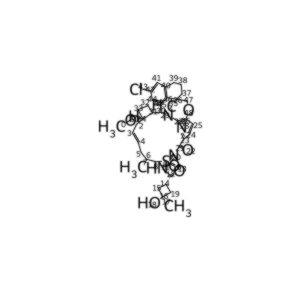 CO[C@H]1/C=C/C[C@H](C)C[S@@](=O)(NC(=O)[C@H]2C[C@](C)(O)C2)=NC(=O)c2ccc3c(n2)N(C[C@@H]2CC[C@H]21)C[C@@]1(CCCc2cc(Cl)ccc21)CO3